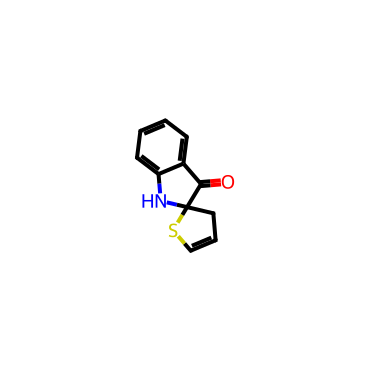 O=C1c2ccccc2NC12CC=CS2